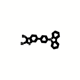 Brc1sc2cc(-c3ccc(-n4c5ccccc5c5ccccc54)cc3)ccc2c1Br